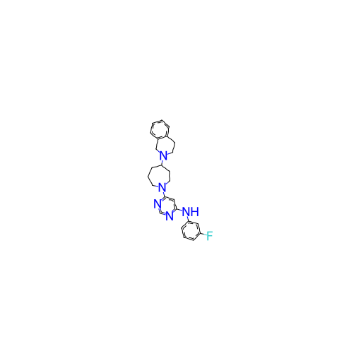 Fc1cccc(Nc2cc(N3CCCC(N4CCc5ccccc5C4)CC3)ncn2)c1